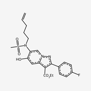 C=CCCCN(c1cn2nc(-c3ccc(F)cc3)c(C(=O)OCC)c2cc1O)S(C)(=O)=O